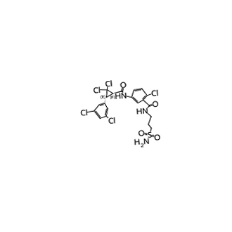 NS(=O)(=O)CCCNC(=O)c1cc(NC(=O)[C@H]2[C@H](c3cc(Cl)cc(Cl)c3)C2(Cl)Cl)ccc1Cl